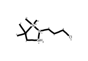 CC1(C)C[SiH2]N(CCCCl)[Si]1(C)C